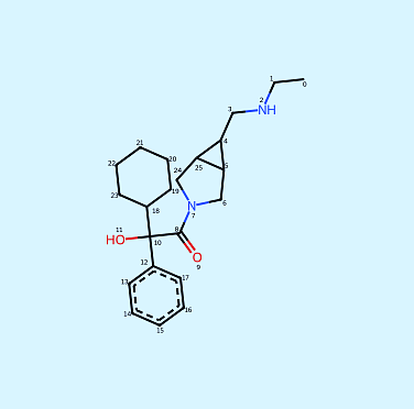 CCNCC1C2CN(C(=O)C(O)(c3ccccc3)C3CCCCC3)CC12